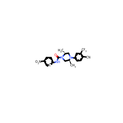 C[C@@H]1CN(c2ccc(C#N)c(C(F)(F)F)c2)[C@@H](C)CN1C(=O)Nc1ccc([N+](=O)[O-])cc1